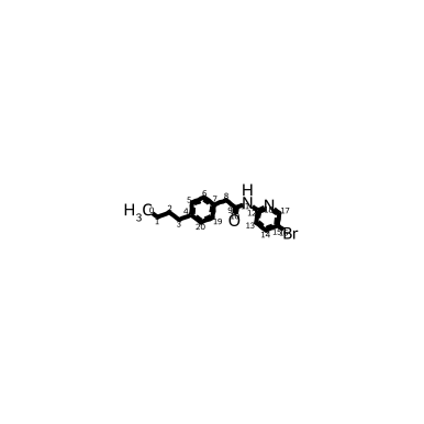 CCCCc1ccc(CC(=O)Nc2ccc(Br)cn2)cc1